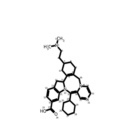 CN(C)CCC1CCC2=C(C1)C1Cc3ccc(C(=O)O)cc3N1C(C1CCCCC1)=C1C=NC=CN1C2